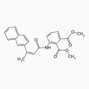 COC(=O)c1cccc(NC(=O)/C=C(/C)c2ccc3ccccc3c2)c1C(=O)OC